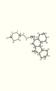 CN1CCN(CCNc2nc3[nH]c4cnccc4c3c3ccncc23)CC1